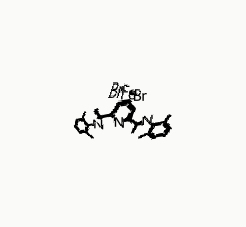 CC(=Nc1c(C)cccc1C)c1cccc(C(C)=Nc2c(C)cccc2C)n1.[Br][Fe][Br]